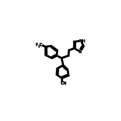 N#Cc1ccc(C(CCc2c[nH]cn2)c2ccc(C(F)(F)F)cc2)cc1